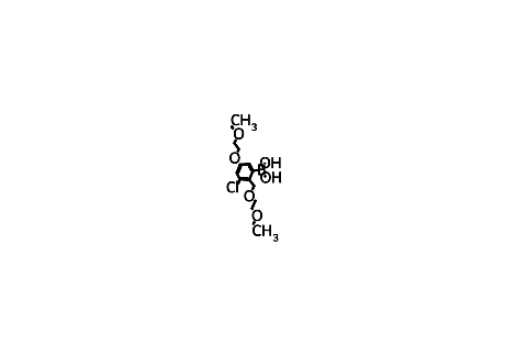 CCOCCOCc1c(Cl)cc(OCCOCC)cc1B(O)O